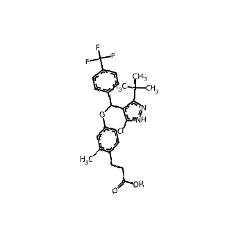 Cc1cc(OC(c2ccc(C(F)(F)F)cc2)c2c(C(C)(C)C)n[nH]c2Cl)ccc1CCC(=O)O